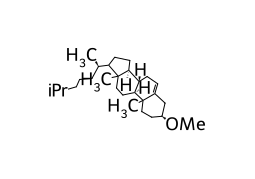 CO[C@H]1CCC2(C)C(=CC[C@@H]3[C@@H]2CCC2(C)C([C@H](C)CCCC(C)C)CC[C@@H]32)C1